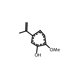 C=C(C)c1ccc(OC)c(O)c1